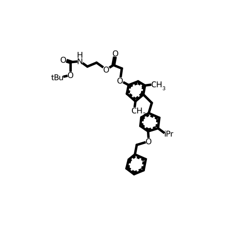 Cc1cc(OCC(=O)OCCNC(=O)OC(C)(C)C)cc(C)c1Cc1ccc(OCc2ccccc2)c(C(C)C)c1